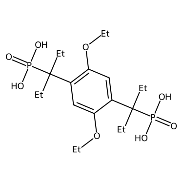 CCOc1cc(C(CC)(CC)P(=O)(O)O)c(OCC)cc1C(CC)(CC)P(=O)(O)O